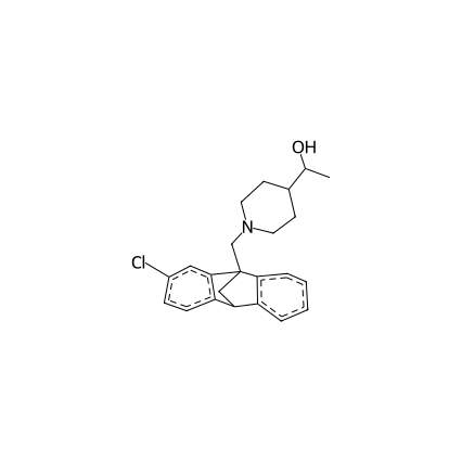 CC(O)C1CCN(CC23CC(c4ccccc42)c2ccc(Cl)cc23)CC1